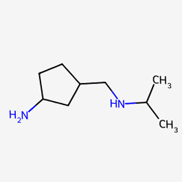 CC(C)NCC1CCC(N)C1